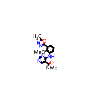 CNC(=O)c1cncnc1Nc1cccc(-c2nnc(C)o2)c1OC